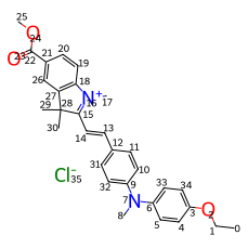 CCOc1ccc(N(C)c2ccc(/C=C/C3=[N+](C)c4ccc(C(=O)OC)cc4C3(C)C)cc2)cc1.[Cl-]